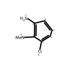 CNc1c([SiH3])cccc1Cl